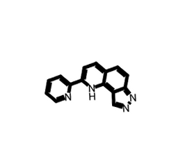 c1ccc(-c2ccc3ccc4nncc4c3[nH]2)nc1